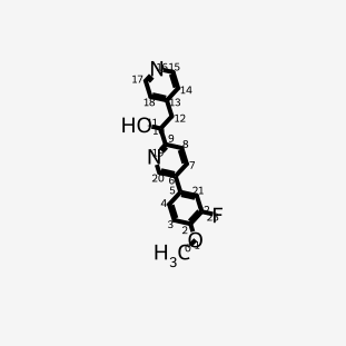 COc1ccc(-c2ccc(C(O)Cc3ccncc3)nc2)cc1F